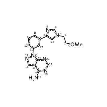 COCCn1cnc(-c2cccc(-n3ncc4c(N)ncnc43)c2)c1